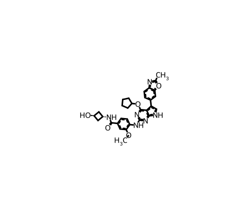 COc1cc(C(=O)N[C@H]2C[C@H](O)C2)ccc1Nc1nc(OC2CCCC2)c2c(-c3ccc4nc(C)oc4c3)c[nH]c2n1